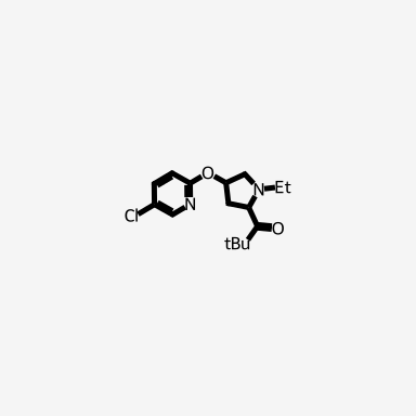 CCN1CC(Oc2ccc(Cl)cn2)CC1C(=O)C(C)(C)C